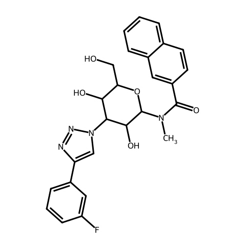 CN(C(=O)c1ccc2ccccc2c1)C1OC(CO)C(O)C(n2cc(-c3cccc(F)c3)nn2)C1O